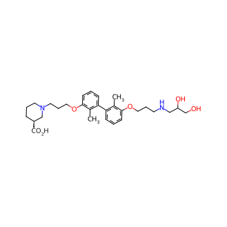 Cc1c(OCCCNCC(O)CO)cccc1-c1cccc(OCCCN2CCC[C@H](C(=O)O)C2)c1C